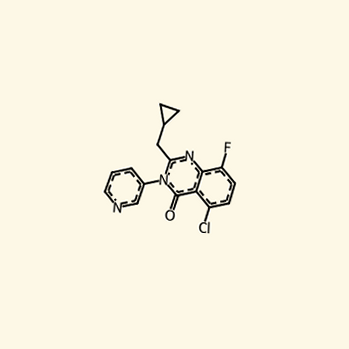 O=c1c2c(Cl)ccc(F)c2nc(CC2CC2)n1-c1cccnc1